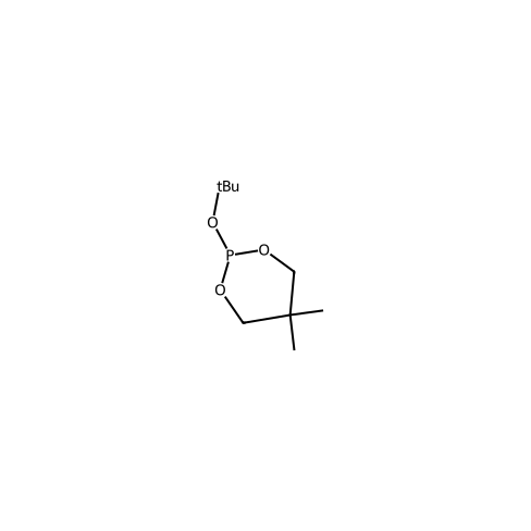 CC1(C)COP(OC(C)(C)C)OC1